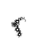 CCOc1ccc(C2(C(=O)OCc3cccc(Oc4ccccc4)c3)CC(F)(F)C2(F)F)cc1